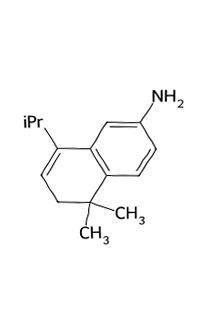 CC(C)C1=CCC(C)(C)c2ccc(N)cc21